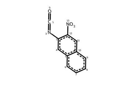 O=C=Nc1cc2ccccc2cc1[N+](=O)[O-]